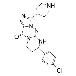 O=c1c2cnc(C3CCNCC3)n2nc2n1CCC(c1ccc(Cl)cc1)N2